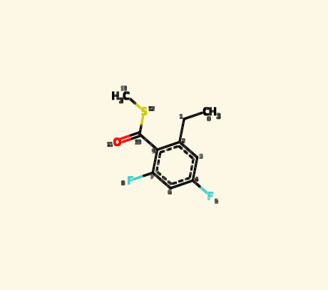 CCc1cc(F)cc(F)c1C(=O)SC